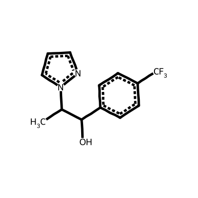 CC(C(O)c1ccc(C(F)(F)F)cc1)n1cccn1